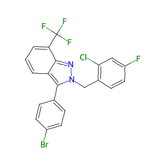 Fc1ccc(Cn2nc3c(C(F)(F)F)cccc3c2-c2ccc(Br)cc2)c(Cl)c1